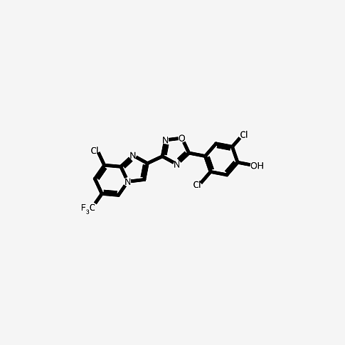 Oc1cc(Cl)c(-c2nc(-c3cn4cc(C(F)(F)F)cc(Cl)c4n3)no2)cc1Cl